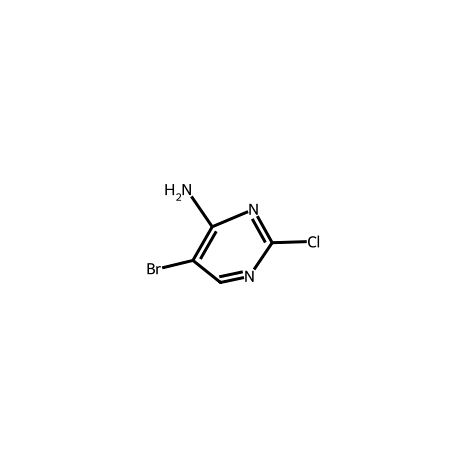 Nc1nc(Cl)ncc1Br